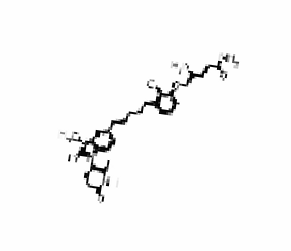 Cn1c(=O)n(C2CCC(=O)NC2=O)c2ccc(CCCCCc3cccc(OCC(N)CCC(N)=O)c3Cl)cc21